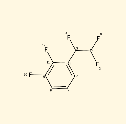 F[C](F)C(F)c1cccc(F)c1F